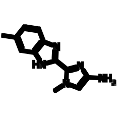 Cc1ccc2nc(-c3nc(N)cn3C)[nH]c2c1